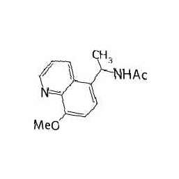 COc1ccc(C(C)NC(C)=O)c2cccnc12